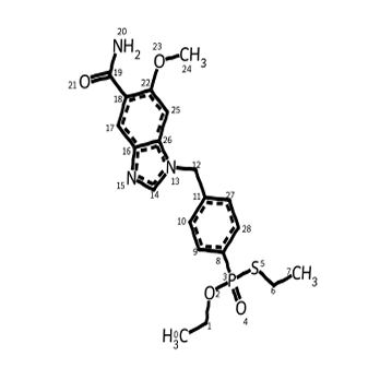 CCOP(=O)(SCC)c1ccc(Cn2cnc3cc(C(N)=O)c(OC)cc32)cc1